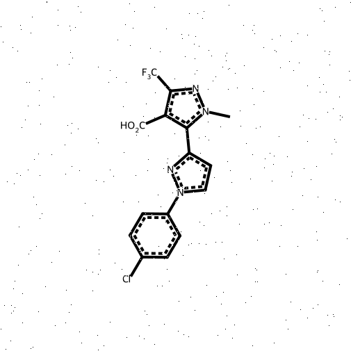 Cn1nc(C(F)(F)F)c(C(=O)O)c1-c1ccn(-c2ccc(Cl)cc2)n1